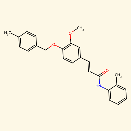 COc1cc(/C=C/C(=O)Nc2ccccc2C)ccc1OCc1ccc(C)cc1